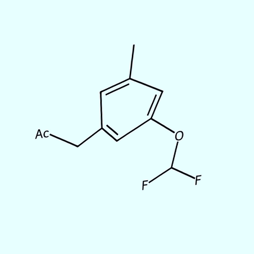 CC(=O)Cc1cc(C)cc(OC(F)F)c1